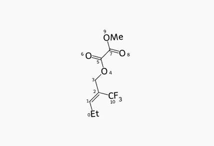 CC/C=C(/COC(=O)C(=O)OC)C(F)(F)F